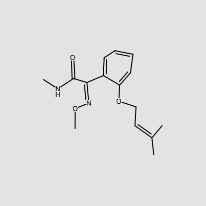 CNC(=O)C(=NOC)c1ccccc1OCC=C(C)C